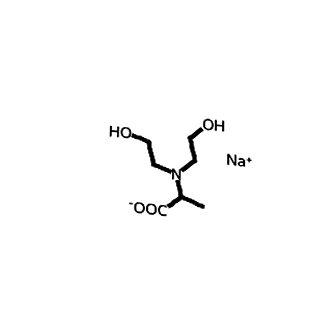 CC(C(=O)[O-])N(CCO)CCO.[Na+]